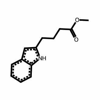 COC(=O)CCCc1cc2ccccc2[nH]1